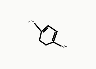 CCCC1=[C]C=C(CCC)[C]C1